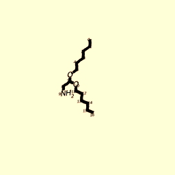 CCCCCCOC(CN)OCCCCCC